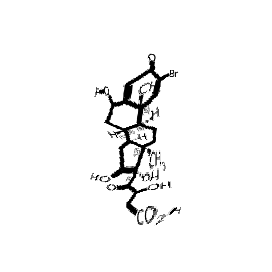 C[C@]12C=C(Br)C(=O)C=C1C(OF)C[C@@H]1[C@@H]2CC[C@@]2(C)[C@H]1CC(O)[C@]2(O)C(=O)C(O)CC(=O)O